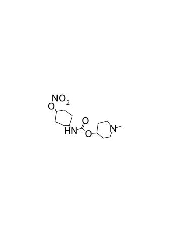 CN1CCC(OC(=O)N[C@H]2CC[C@H](O[N+](=O)[O-])CC2)CC1